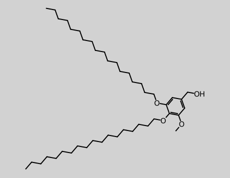 CCCCCCCCCCCCCCCCCCOc1cc(CO)cc(OC)c1OCCCCCCCCCCCCCCCCCC